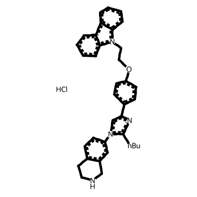 CCCCc1nc(-c2ccc(OCCn3c4ccccc4c4ccccc43)cc2)cn1-c1ccc2c(c1)CNCC2.Cl